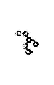 Cc1ccnc(C(=O)CC(=O)c2cc(Cc3ccccc3)cc(-c3cncc(N4CCOCC4)n3)c2)c1